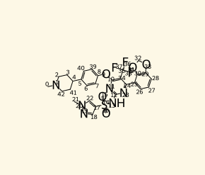 CN1CCC(c2ccc(Oc3nc(NS(=O)(=O)c4cnn(C)c4)nc(-c4cccc5c4OCO5)c3C(F)(F)F)cc2)CC1